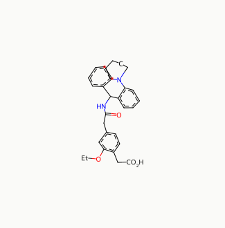 CCOc1cc(CC(=O)NC(c2ccccc2)c2ccccc2N2CCCCC2)ccc1CC(=O)O